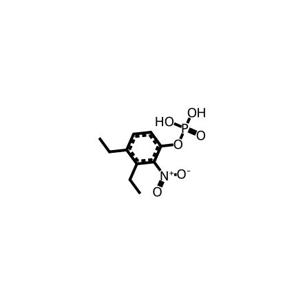 CCc1ccc(OP(=O)(O)O)c([N+](=O)[O-])c1CC